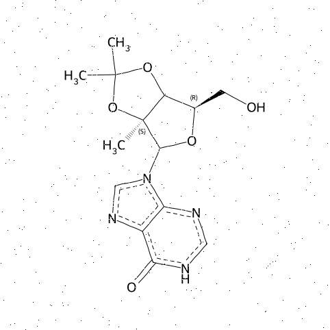 CC1(C)OC2[C@@H](CO)OC(n3cnc4c(=O)[nH]cnc43)[C@@]2(C)O1